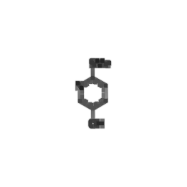 CSc1ccc(O)cn1